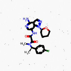 C[C@H](c1ccc(F)cc1)N(C)C(=O)C(=O)Nc1cnc(N)c2cnn(C3CCCCO3)c12